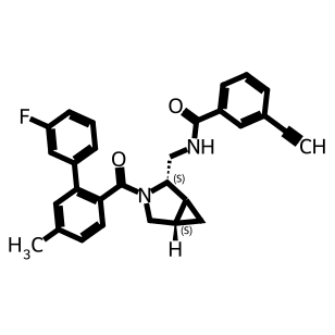 C#Cc1cccc(C(=O)NC[C@@H]2C3C[C@@H]3CN2C(=O)c2ccc(C)cc2-c2cccc(F)c2)c1